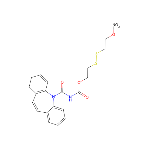 O=C(NC(=O)N1C2=C(C=Cc3ccccc31)CCC=C2)OCCSSCCO[N+](=O)[O-]